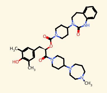 Cc1cc(C[C@@H](OC(=O)N2CCC(N3CCc4ccccc4NC3=O)CC2)C(=O)N2CCC(N3CCCN(C)CC3)CC2)cc(C)c1O